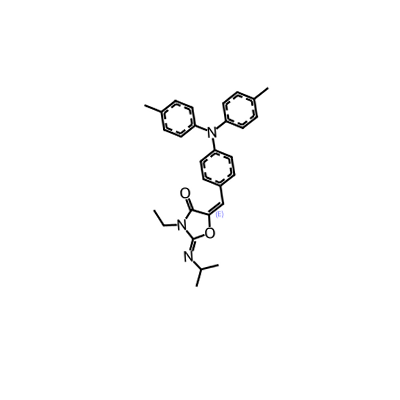 CCN1C(=O)/C(=C\c2ccc(N(c3ccc(C)cc3)c3ccc(C)cc3)cc2)OC1=NC(C)C